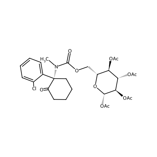 CC(=O)O[C@@H]1O[C@H](COC(=O)N(C)[C@]2(c3ccccc3Cl)CCCCC2=O)[C@@H](OC(C)=O)[C@H](OC(C)=O)[C@H]1OC(C)=O